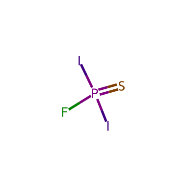 FP(=S)(I)I